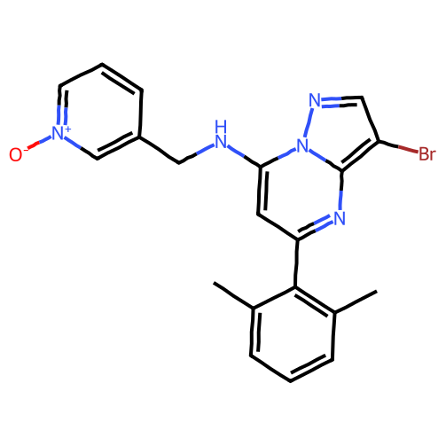 Cc1cccc(C)c1-c1cc(NCc2ccc[n+]([O-])c2)n2ncc(Br)c2n1